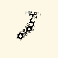 C[C@@H](CO)NC[C@H]1CCc2ccc(S(=O)(=O)c3ccccc3)cc2O1